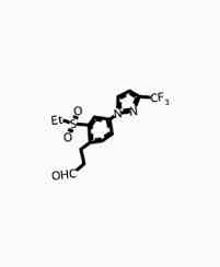 CCS(=O)(=O)c1cc(-n2ccc(C(F)(F)F)n2)ccc1CCC=O